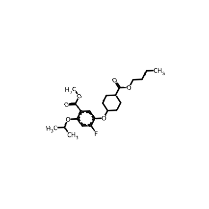 CCCCOC(=O)C1CCC(Oc2cc(C(=O)OC)c(OC(C)C)cc2F)CC1